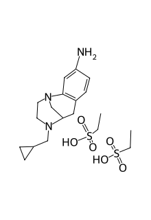 CCS(=O)(=O)O.CCS(=O)(=O)O.Nc1ccc2c(c1)N1CCN(CC3CC3)C(C2)C1